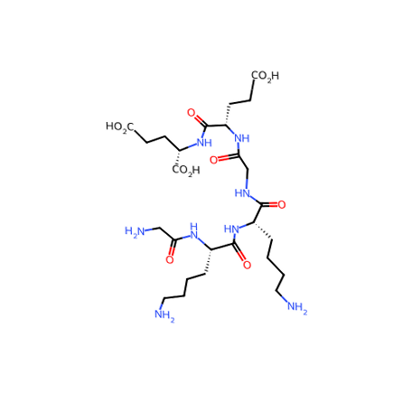 NCCCC[C@H](NC(=O)CN)C(=O)N[C@@H](CCCCN)C(=O)NCC(=O)N[C@@H](CCC(=O)O)C(=O)N[C@@H](CCC(=O)O)C(=O)O